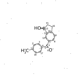 Cc1ccc([S+]([O-])c2ccc3c(c2)B(O)CC3)cc1